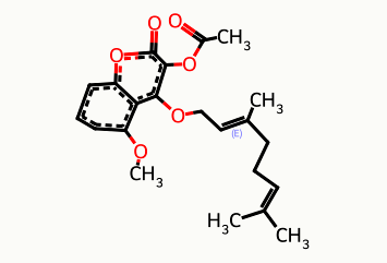 COc1cccc2oc(=O)c(OC(C)=O)c(OC/C=C(\C)CCC=C(C)C)c12